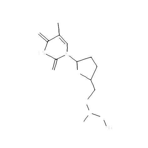 CCCOP(O)OCC1CCC(n2cc(F)c(=O)[nH]c2=O)O1